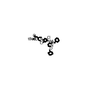 CC(C)(C)OC(=O)CC1(O)CCN(c2cc(Cl)c(Nc3ccc(OCc4ccccc4)nc3OCc3ccccc3)cc2Cl)CC1